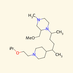 COCC1CN(C)CCN1C(C)CCC(C)C1CCN(CCOC(C)C)CC1